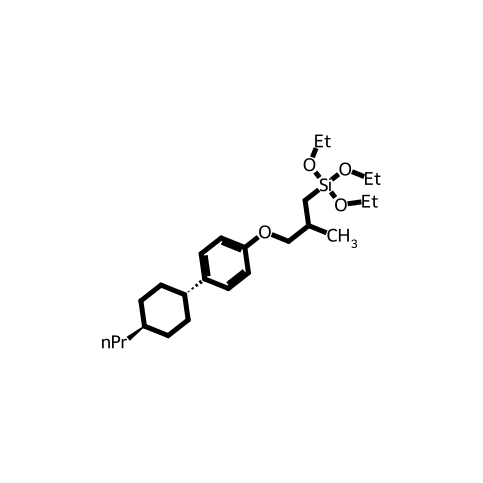 CCC[C@H]1CC[C@H](c2ccc(OCC(C)C[Si](OCC)(OCC)OCC)cc2)CC1